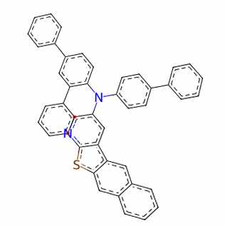 c1ccc(-c2ccc(N(c3cnc4sc5cc6ccccc6cc5c4c3)c3ccc(-c4ccccc4)cc3-c3ccccc3)cc2)cc1